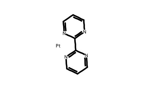 [Pt].c1cnc(-c2ncccn2)nc1